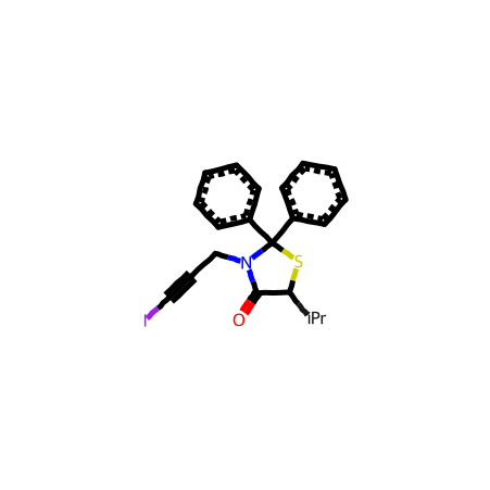 CC(C)C1SC(c2ccccc2)(c2ccccc2)N(CC#CI)C1=O